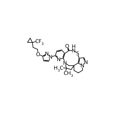 CC1(C)CC23CCCn4ncc(c42)SNC(=O)c2ccc(-n4ccc(OCCC5(C(F)(F)F)CC5)n4)nc2N1C3